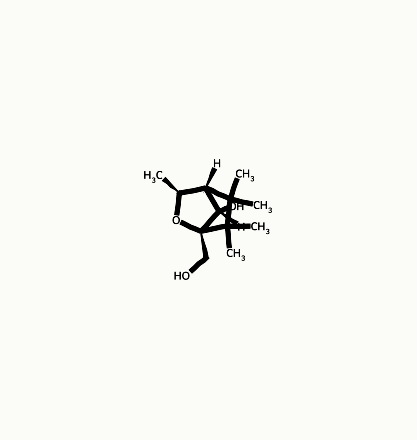 C[C@@H]1O[C@]2(CO)[C@@H](O)[C@H]1C(C)(C)C2(C)C